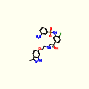 Cc1n[nH]c2cc(OCCNC[C@H](O)c3ccc(F)c(NS(=O)(=O)c4cccc(N)c4)c3)ccc12